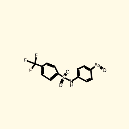 O=[As]c1ccc(NS(=O)(=O)c2ccc(C(F)(F)F)cc2)cc1